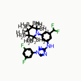 BC1(B)N(c2cc(Nc3ncn(-c4cc(F)cc(F)c4)n3)cc(C(F)F)c2)C(B)(B)C(B)(B)C(B)(B)C1(B)B